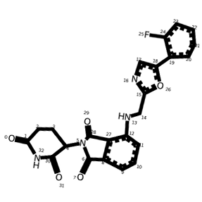 O=C1CCC(N2C(=O)c3cccc(NCc4ncc(-c5ccccc5F)o4)c3C2=O)C(=O)N1